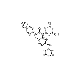 COc1ccc(N2Cc3cnc(Nc4ccccc4)nc3N(C3CC(O)CC(O)C3)C2=O)cc1